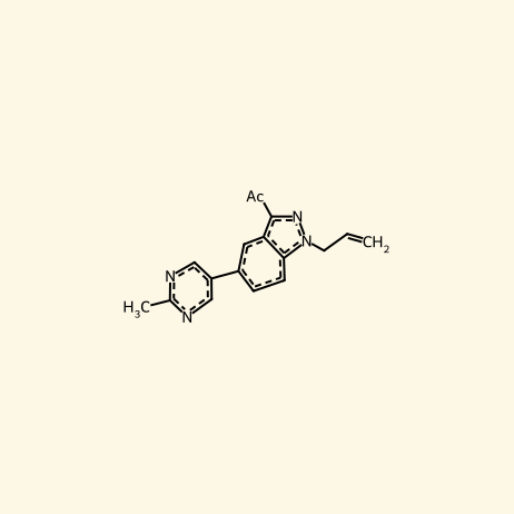 C=CCn1nc(C(C)=O)c2cc(-c3cnc(C)nc3)ccc21